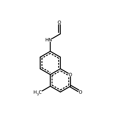 Cc1cc(=O)oc2cc(NC=O)ccc12